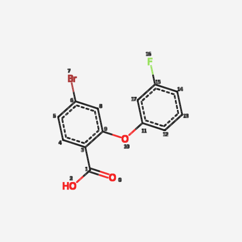 O=C(O)c1ccc(Br)cc1Oc1cccc(F)c1